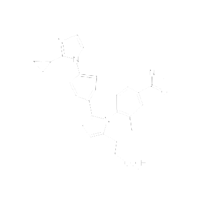 Cc1cc(C(N)=O)ccc1-n1c(CCC(=O)O)ccc1-c1ccc(-n2ccnc2C2CC2)cc1